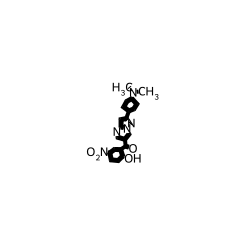 CN(C)c1ccc(-c2cc3ncc(C(=O)c4cc([N+](=O)[O-])ccc4O)cn3n2)cc1